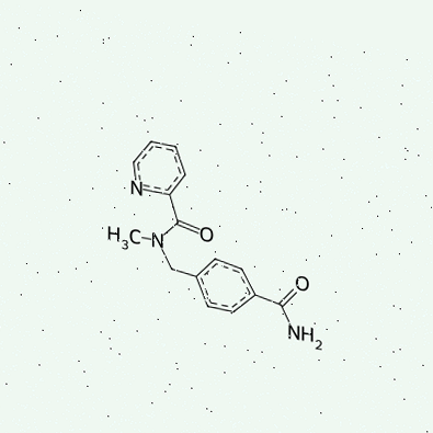 CN(Cc1ccc(C(N)=O)cc1)C(=O)c1ccccn1